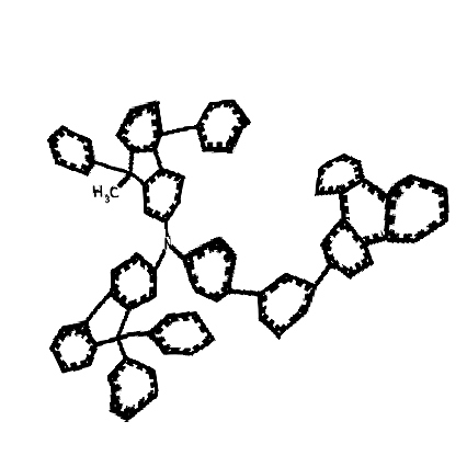 CC1(c2ccccc2)c2cc(N(c3ccc(-c4cccc(-c5ccc6c7ccccc7c7ccccc7c6c5)c4)cc3)c3ccc4c(c3)C(c3ccccc3)(c3ccccc3)c3ccccc3-4)ccc2-c2c(-c3ccccc3)cccc21